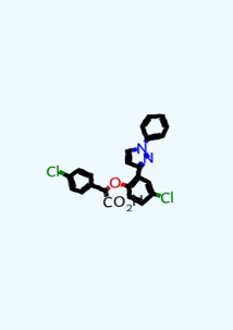 O=C(O)C(Oc1ccc(Cl)cc1-c1ccn(-c2ccccc2)n1)c1ccc(Cl)cc1